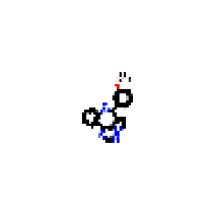 FC(F)(F)Oc1cccc(C2Nc3ccccc3-c3ncnn4ccc2c34)c1